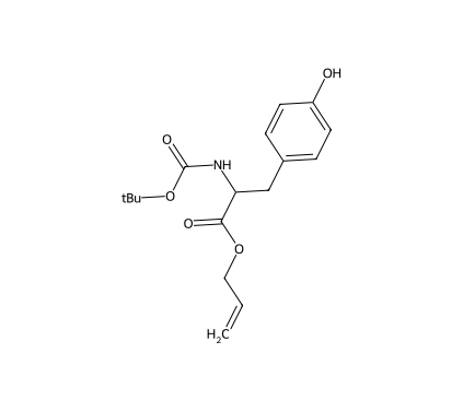 C=CCOC(=O)C(Cc1ccc(O)cc1)NC(=O)OC(C)(C)C